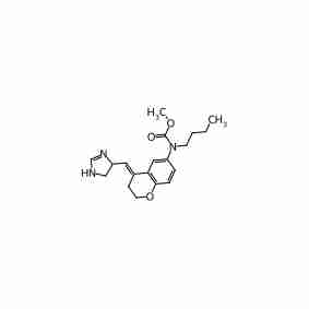 CCCCN(C(=O)OC)c1ccc2c(c1)/C(=C/C1CNC=N1)CCO2